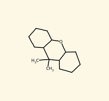 CC1(C)C2CCCCC2OC2CCCCC21